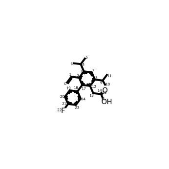 C=Cc1c(C(C)C)cc(C(C)C)c(CC(=O)O)c1-c1ccc(F)cc1